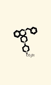 CCOC(=O)N1CCC(N2CCC3(CC2)CN(Cc2ccccc2)Cc2ccccc23)CC1